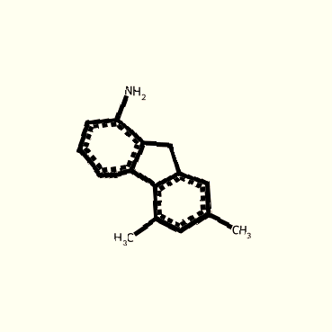 Cc1cc(C)c2c(c1)Cc1c(N)cccc1-2